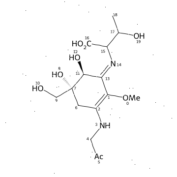 COC1=C(NCC(C)=O)C[C@@](O)(CO)[C@@H](O)/C1=N\C(C(=O)O)C(C)O